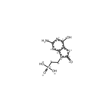 Nc1nc(O)c2sc(=O)n(CCP(=O)(O)O)c2n1